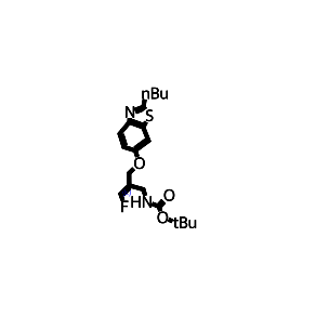 CCCCc1nc2ccc(OC/C(=C/F)CNC(=O)OC(C)(C)C)cc2s1